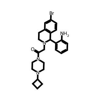 Nc1ccccc1C1c2ccc(Br)cc2CCN1CC(=O)N1CCN(C2CCC2)CC1